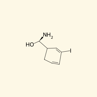 N[C@H](O)C1C=C(I)C=CC1